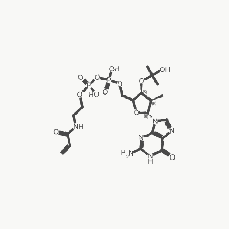 C=CC(=O)NCCOP(=O)(O)OP(=O)(O)OCC1O[C@@H](n2cnc3c(=O)[nH]c(N)nc32)[C@H](C)[C@@H]1OC(C)(C)O